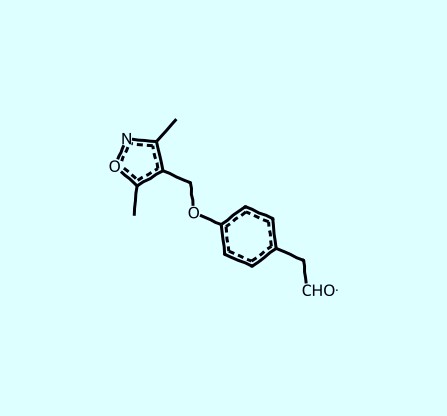 Cc1noc(C)c1COc1ccc(C[C]=O)cc1